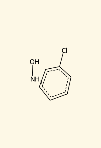 Clc1ccccc1.NO